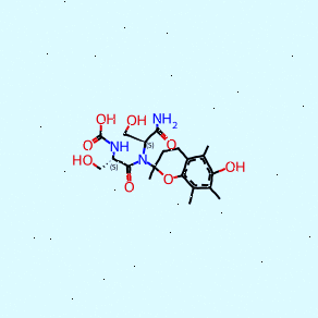 Cc1c(C)c2c(c(C)c1O)CCC(C)(N(C(=O)[C@H](CO)NC(=O)O)[C@@H](CO)C(N)=O)O2